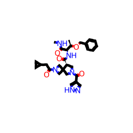 CNC(=O)[C@@H](NC(=O)[C@@H]1CN(C(=O)c2cn[nH]c2)CC12CN(C(=O)CC1CC1)C2)[C@@H](C)OCc1ccccc1